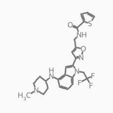 CN1CCC(Nc2cccc3c2cc(-c2cc(CNC(=O)c4cccs4)on2)n3CC(F)(F)F)CC1